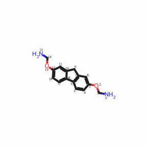 NCOc1ccc2c(c1)Cc1cc(OCN)ccc1-2